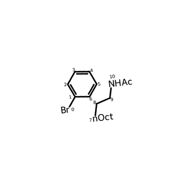 Brc1ccccc1.CCCCCCCCCCNC(C)=O